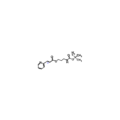 CC(C)(C)OC(=O)NCCCOC(=O)/C=C/c1ccccn1